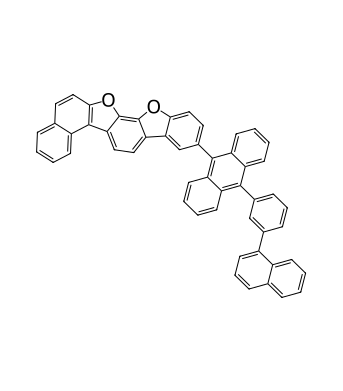 c1cc(-c2cccc3ccccc23)cc(-c2c3ccccc3c(-c3ccc4oc5c(ccc6c5oc5ccc7ccccc7c56)c4c3)c3ccccc23)c1